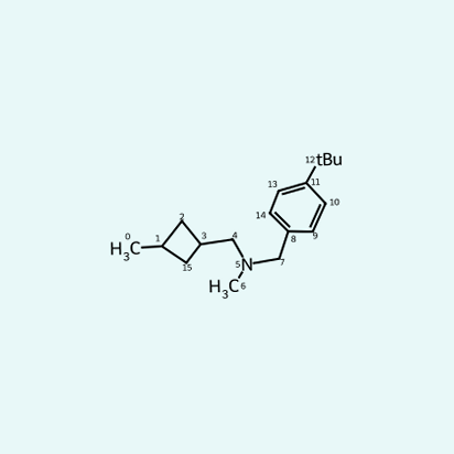 CC1CC(CN(C)Cc2ccc(C(C)(C)C)cc2)C1